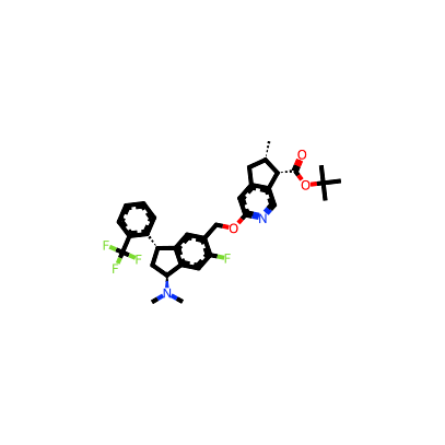 C[C@H]1Cc2cc(OCc3cc4c(cc3F)[C@@H](N(C)C)C[C@@H]4c3ccccc3C(F)(F)F)ncc2[C@H]1C(=O)OC(C)(C)C